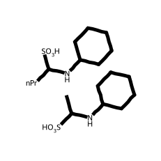 CC(NC1CCCCC1)S(=O)(=O)O.CCCC(NC1CCCCC1)S(=O)(=O)O